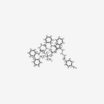 CC(C)(C)OC(=O)N=c1n(CCCOc2ccc(F)cc2)c2ccccc2n1Cc1ccccc1N1CCN(Cc2ccccc2-c2ccccc2)CC1